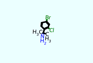 CC(C)(N)c1ccc(Br)cc1Cl